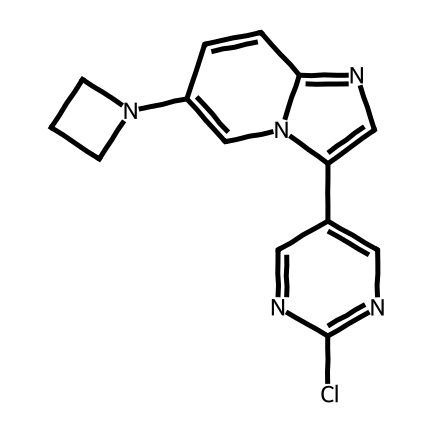 Clc1ncc(-c2cnc3ccc(N4CCC4)cn23)cn1